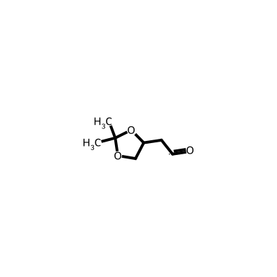 CC1(C)OCC(C[C]=O)O1